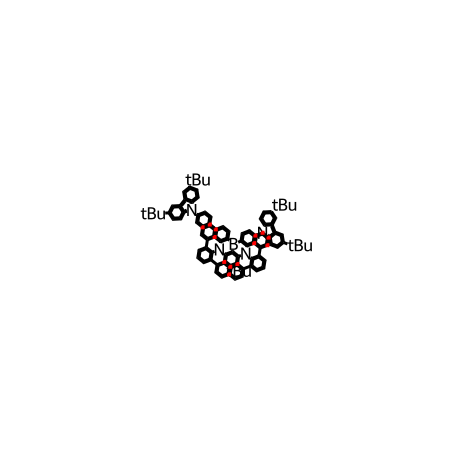 CC(C)(C)c1cc2c3c(c1)N(c1c(-c4ccccc4)cccc1-c1ccccc1)c1cc(-n4c5ccc(C(C)(C)C)cc5c5cc(C(C)(C)C)ccc54)ccc1B3c1ccc(-c3ccc(-n4c5ccc(C(C)(C)C)cc5c5cc(C(C)(C)C)ccc54)cc3)cc1N2c1c(-c2ccccc2)cccc1-c1ccccc1